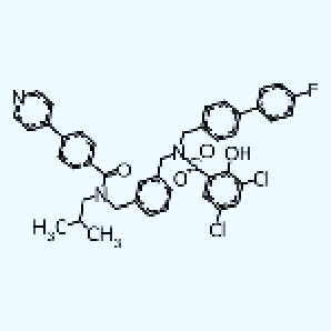 CC(C)CN(Cc1cccc(CN(Cc2ccc(-c3ccc(F)cc3)cc2)S(=O)(=O)c2cc(Cl)cc(Cl)c2O)c1)C(=O)c1ccc(-c2ccncc2)cc1